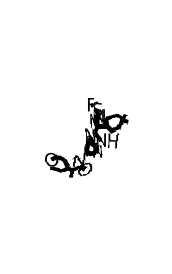 CC(C(=O)N(C)c1cnc2[nH]c(-c3nn(SF)c4c3CCC(C)(C)C4)nc2c1)C1CCOCC1